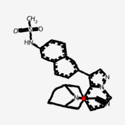 CS(=O)(=O)Nc1ccc2cc(-c3cnn4cccc(N5C6CCC5CC(C#N)C6)c34)ccc2c1